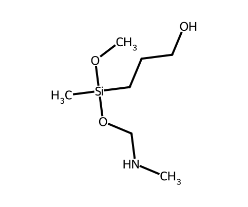 CNCO[Si](C)(CCCO)OC